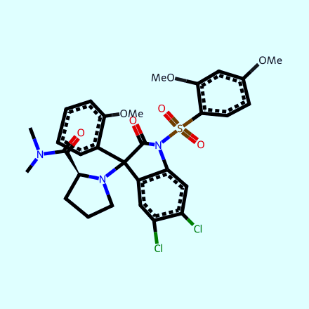 COc1ccc(S(=O)(=O)N2C(=O)C(c3ccccc3OC)(N3CCC[C@H]3C(=O)N(C)C)c3cc(Cl)c(Cl)cc32)c(OC)c1